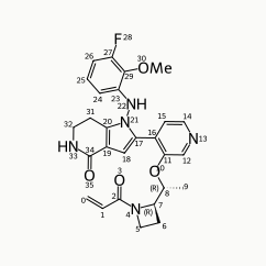 C=CC(=O)N1CC[C@@H]1[C@@H](C)Oc1cnccc1-c1cc2c(n1Nc1cccc(F)c1OC)CCNC2=O